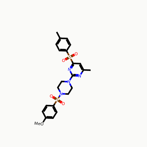 COc1ccc(S(=O)(=O)N2CCN(c3nc(C)cc(S(=O)(=O)c4ccc(C)cc4)n3)CC2)cc1